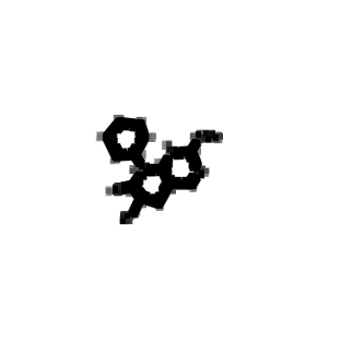 CSc1ncc2cc(Br)c(=O)n(-c3ccccc3)c2n1